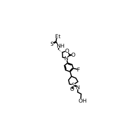 CCC(=S)NC[C@H]1CN(c2ccc(C3CCS(=O)(=NCCO)CC3)c(F)c2)C(=O)O1